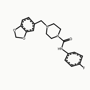 O=C(Nc1ccc(F)cc1)N1CCN(Cc2ccc3c(c2)OCO3)CC1